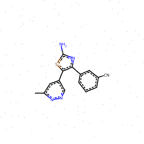 Cc1cc(-c2sc(N)nc2-c2cccc(C#N)c2)cnn1